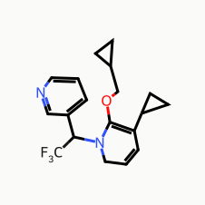 FC(F)(F)C(c1cccnc1)N1CC=CC(C2CC2)=C1OCC1CC1